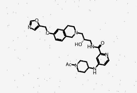 CC(=O)N1CCC(Nc2ccnc(C(=O)NC[C@H](O)CN3CCc4cc(OCc5cnco5)ccc4C3)c2)CC1